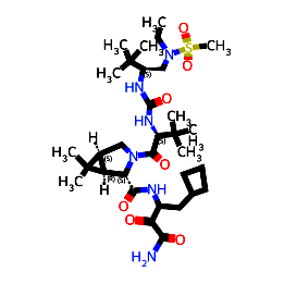 CCN(C[C@@H](NC(=O)N[C@H](C(=O)N1C[C@H]2[C@@H]([C@H]1C(=O)NC(CC1CCC1)C(=O)C(N)=O)C2(C)C)C(C)(C)C)C(C)(C)C)S(C)(=O)=O